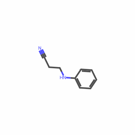 N#CCCNc1[c]cccc1